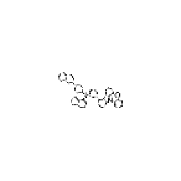 c1cc(-c2cccc3c2c2cccc4c2n3-c2ccccc2O4)cc(N(c2ccc(-c3ccc4ccccc4c3)cc2)c2cccc3ccccc23)c1